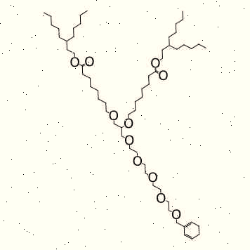 CCCCCC(CCCCC)CCOC(=O)CCCCCCCOCC(COCCOCCOCCOCCOCC1=CCCC=C1)OCCCCCCCC(=O)OCCC(CCCCC)CCCCC